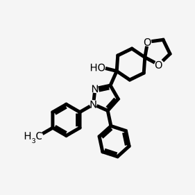 Cc1ccc(-n2nc(C3(O)CCC4(CC3)OCCO4)cc2-c2ccccc2)cc1